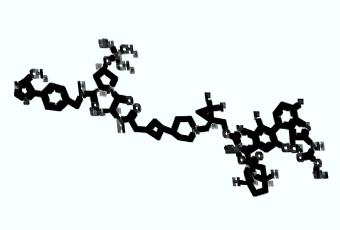 Cc1ncsc1-c1ccc(CNC(=O)[C@@H]2C[C@@H](O[Si](C)(C)C(C)(C)C)CN2C(=O)[C@@H](NC(=O)CC2CC(C3CCN(C[C@@]4(COc5nc(N6C[C@H]7CC[C@@H](C6)N7C(=O)OC(C)(C)C)c6cc(Cl)c(-c7ccc(F)c8sc(NC(=O)OC(C)(C)C)c(C#N)c78)c(F)c6n5)CC4(F)F)CC3)C2)C(C)(C)C)cc1